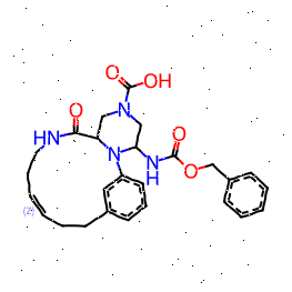 O=C(NC1CN(C(=O)O)CC2C(=O)NCC/C=C\CCc3cccc(c3)N12)OCc1ccccc1